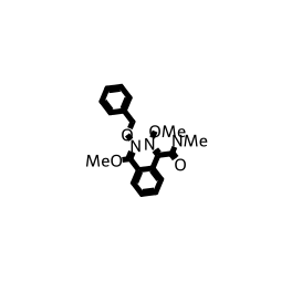 CNC(=O)C(=NOC)c1ccccc1C(=NOCc1ccccc1)OC